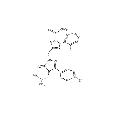 COC(=O)c1nc(Cn2nc(-c3ccc(Cl)cc3)n(CC(O)C(F)(F)F)c2=O)nn1-c1ncccc1C